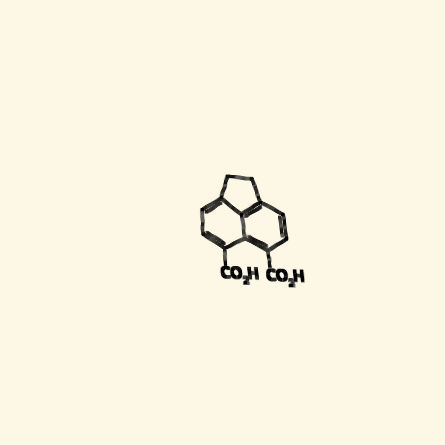 O=C(O)c1ccc2c3c(ccc(C(=O)O)c13)CC2